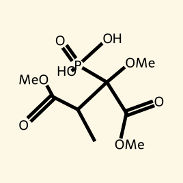 COC(=O)C(C)C(OC)(C(=O)OC)P(=O)(O)O